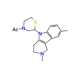 CC(=O)N1CCSC(n2c3c(c4cc(C)ccc42)CN(C)CC3)C1